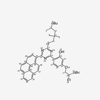 CCCCC(C)CC(C)(C)CSc1nc(-c2ccc(OCC(CC)CCCC)cc2O)nc(-c2ccc3ccc4cccc5ccc2c3c45)n1